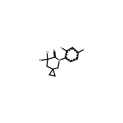 O=C1N(c2ccc(I)cc2F)CC2(CC2)CC1(Cl)Cl